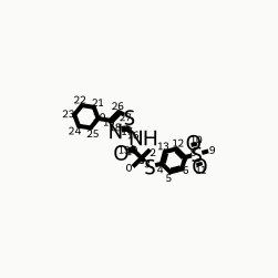 CC(C)(Sc1ccc(S(C)(=O)=O)cc1)C(=O)Nc1nc(C2CCCCC2)cs1